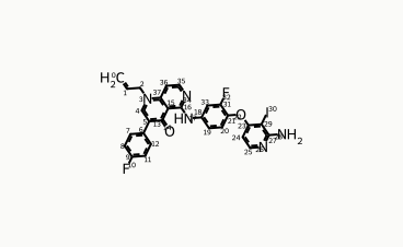 C=CCn1cc(-c2ccc(F)cc2)c(=O)c2c(Nc3ccc(Oc4ccnc(N)c4I)c(F)c3)nccc21